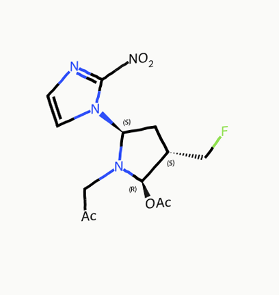 CC(=O)CN1[C@H](OC(C)=O)[C@@H](CF)C[C@@H]1n1ccnc1[N+](=O)[O-]